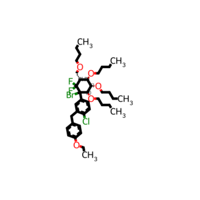 CCCCOC[C@@H]1[C@@H](OCCCC)[C@H](OCCCC)[C@@H](OCCCC)C(Br)(c2ccc(Cl)c(Cc3ccc(OCC)cc3)c2)C1(F)F